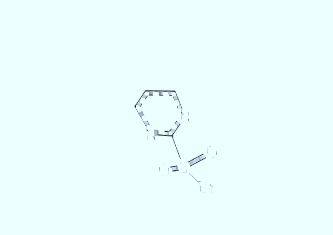 CCS(=O)(=O)c1ncccn1